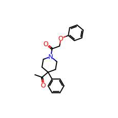 CC(=O)C1(c2ccccc2)CCN(C(=O)COc2ccccc2)CC1